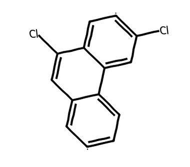 Clc1[c]cc2c(Cl)cc3c[c]ccc3c2c1